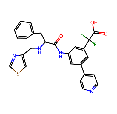 O=C(Nc1cc(-c2ccncc2)cc(C(F)(F)C(=O)O)c1)C(Cc1ccccc1)NCc1cscn1